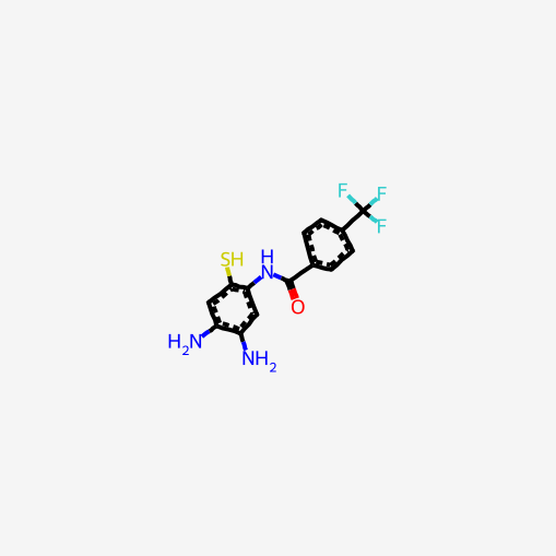 Nc1cc(S)c(NC(=O)c2ccc(C(F)(F)F)cc2)cc1N